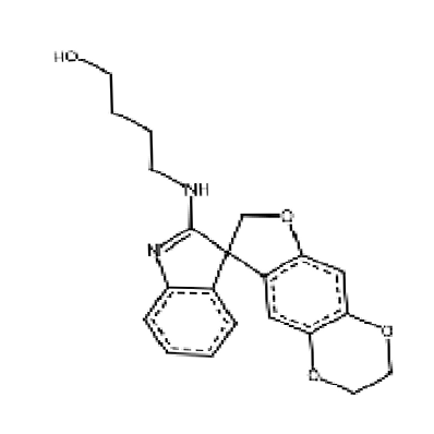 OCCCCNC1=Nc2ccccc2C12COc1cc3c(cc12)OCCO3